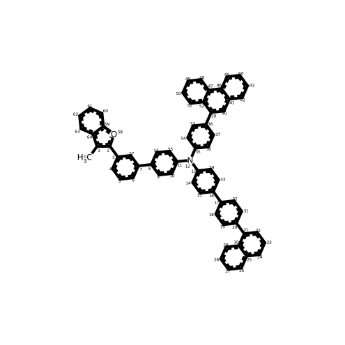 Cc1c(-c2cccc(-c3ccc(N(c4ccc(-c5ccc(-c6cccc7ccccc67)cc5)cc4)c4ccc(-c5cc6ccccc6c6ccccc56)cc4)cc3)c2)oc2ccccc12